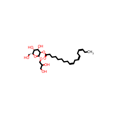 CC/C=C\C/C=C\C/C=C\CCCCCCCC(=O)O[C@H]1[C@H](OCC(O)CO)O[C@H](CO)[C@H](O)[C@@H]1O